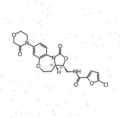 O=C(NC[C@@H]1OC(=O)N2c3ccc(N4CCOCC4=O)cc3OCC[C@@H]12)c1ccc(Cl)o1